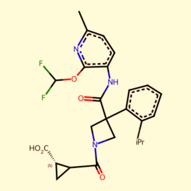 Cc1ccc(NC(=O)C2(c3ccccc3C(C)C)CN(C(=O)C3C[C@@H]3C(=O)O)C2)c(OC(F)F)n1